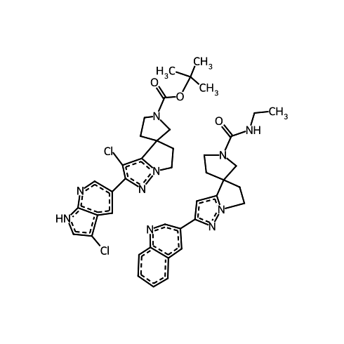 CC(C)(C)OC(=O)N1CCC2(CCn3nc(-c4cnc5[nH]cc(Cl)c5c4)c(Cl)c32)C1.CCNC(=O)N1CCC2(CCn3nc(-c4cnc5ccccc5c4)cc32)C1